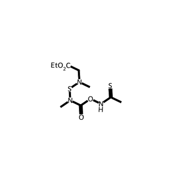 CCOC(=O)CN(C)SN(C)C(=O)ONC(C)=S